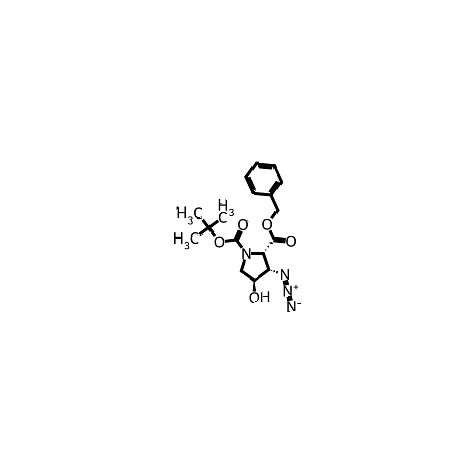 CC(C)(C)OC(=O)N1C[C@H](O)[C@@H](N=[N+]=[N-])[C@H]1C(=O)OCc1ccccc1